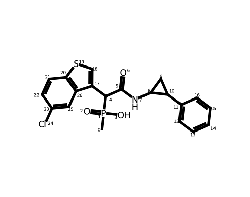 CP(=O)(O)C(C(=O)NC1CC1c1ccccc1)c1csc2ccc(Cl)cc12